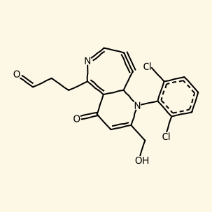 O=CCCC1=C2C(=O)C=C(CO)N(c3c(Cl)cccc3Cl)C2C#CC=N1